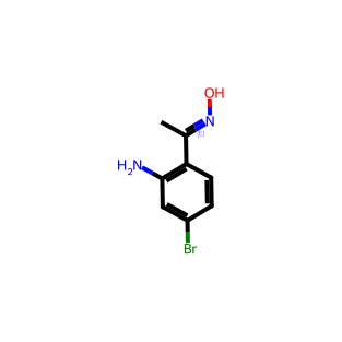 C/C(=N\O)c1ccc(Br)cc1N